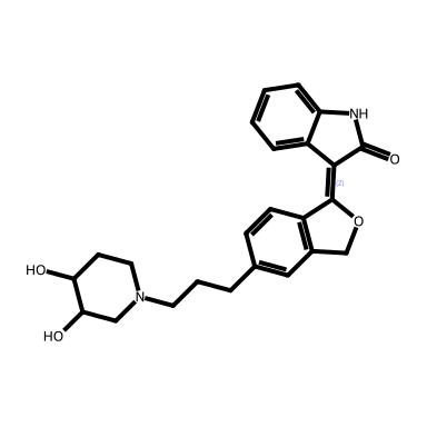 O=C1Nc2ccccc2/C1=C1/OCc2cc(CCCN3CCC(O)C(O)C3)ccc21